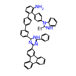 CCC1Nc2ccccc2N1c1ccc(-c2c(N)cccc2-c2ccc(-c3cccc(C4N=C(c5ccc6c7ccccc7c7ccccc7c6c5)N=C(c5ccccc5)N4)c3)cc2)cc1